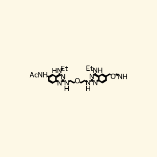 CCNc1nc(NCCOCCNc2nc(NCC)c3cc(NC(C)=O)ccc3n2)nc2ccc(COC=N)cc12